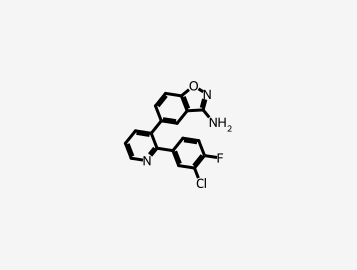 Nc1noc2ccc(-c3cccnc3-c3ccc(F)c(Cl)c3)cc12